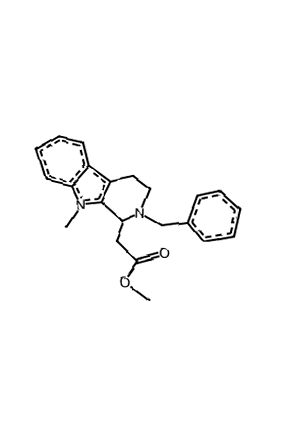 COC(=O)CC1c2c(c3ccccc3n2C)CCN1Cc1ccccc1